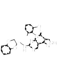 Cc1cccc(Cl)c1-n1c(=O)c2c[nH]nc2c2cnc(NC[C@H]3COc4ccccc4O3)nc21